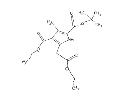 CCOC(=O)Cc1[nH]c(C(=O)OC(C)(C)C)c(C)c1C(=O)OCC